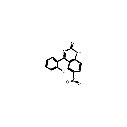 O=c1nc(-c2ccccc2Cl)c2cc([N+](=O)[O-])ccc2[nH]1